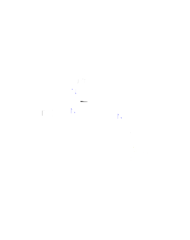 CC(C)n1cc(C(F)(F)F)nc1[C@H]1CC[C@H](N2CCC3(C2)CS(=O)(=O)C3)C1